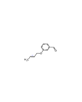 C/C=C/COc1cccc(C=O)c1